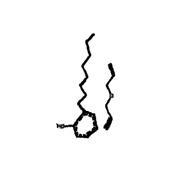 C=CCOCC=C.CCCCCCCCc1ccccc1O